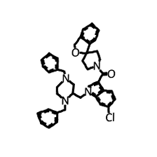 O=C(c1cn(CC2CN(Cc3ccccc3)CCN2Cc2ccccc2)c2cc(Cl)ccc12)N1CCC2(CC1)OCc1ccccc12